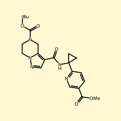 COC(=O)c1ccc(C2(NC(=O)c3cnn4c3CN(C(=O)OC(C)(C)C)CC4)CC2)nc1